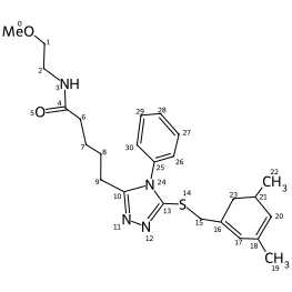 COCCNC(=O)CCCCc1nnc(SCC2=CC(C)=CC(C)C2)n1-c1ccccc1